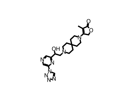 CC1=C(N2CCC3(CCN(CC(O)c4cncc(-n5cnnn5)n4)CC3)CC2)COC1=O